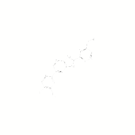 CC(C)Oc1cccc(-c2nc3ncc(-c4ccc(F)c(F)c4)cc3[nH]2)c1